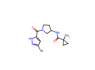 CC(C)c1cc(C(=O)N2CCC(NC(=O)C3(C)CC3)C2)[nH]n1